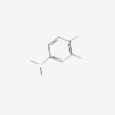 CCN(CC)c1ccc(OC)c(O)c1